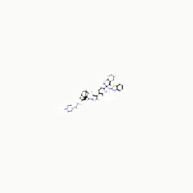 CC1=C2CCCN=C2N=NC1(Nc1nc2ccccc2s1)c1ccc(-c2cnn(CC34CC5CC(C3)CC(OCCN3CCN(C)CC3)(C5)C4)c2C)c(C(=O)O)n1